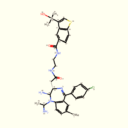 COc1ccc2c(c1)C(c1ccc(Cl)cc1)=N[C@@H](CC(=O)NCCNC(=O)c1ccc3scc([Si](C)(C)O)c3c1)C(N)N2C(C)N